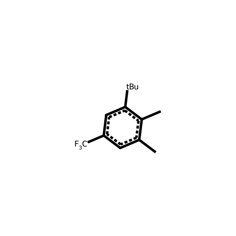 Cc1cc(C(F)(F)F)cc(C(C)(C)C)c1C